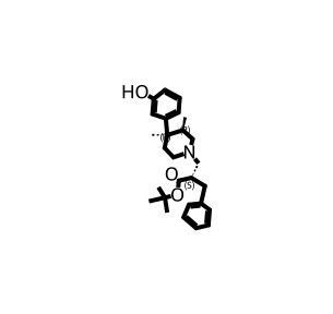 C[C@H]1CN(C[C@H](Cc2ccccc2)C(=O)OC(C)(C)C)CC[C@@]1(C)c1cccc(O)c1